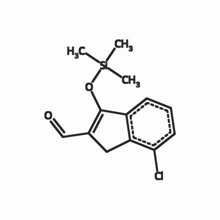 C[Si](C)(C)OC1=C(C=O)Cc2c(Cl)cccc21